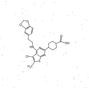 Cc1sc2nc(C3CCC(C(=O)O)CC3)nc(NCCc3ccc4c(c3)OCO4)c2c1Cl